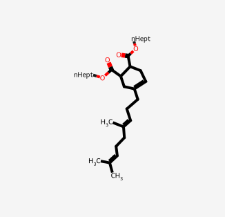 CCCCCCCOC(=O)C1CC=C(CC/C=C(\C)CCC=C(C)C)CC1C(=O)OCCCCCCC